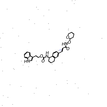 O=C(/C=C/c1ccc2c(c1)CCCC2NC(=O)OCCc1c[nH]c2ccccc12)NOC1CCCCO1